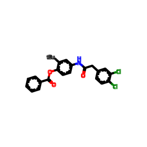 CC(C)(C)c1cc(NC(=O)Cc2ccc(Cl)c(Cl)c2)ccc1OC(=O)c1ccccc1